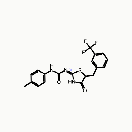 Cc1ccc(NC(=O)/N=C2\NC(=O)C(Cc3cccc(C(F)(F)F)c3)S2)cc1